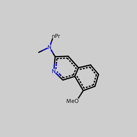 CCCN(C)c1cc2cccc(OC)c2cn1